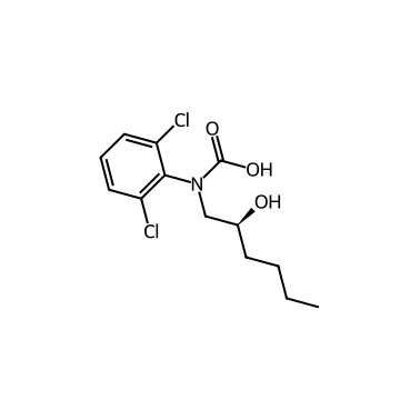 CCCC[C@H](O)CN(C(=O)O)c1c(Cl)cccc1Cl